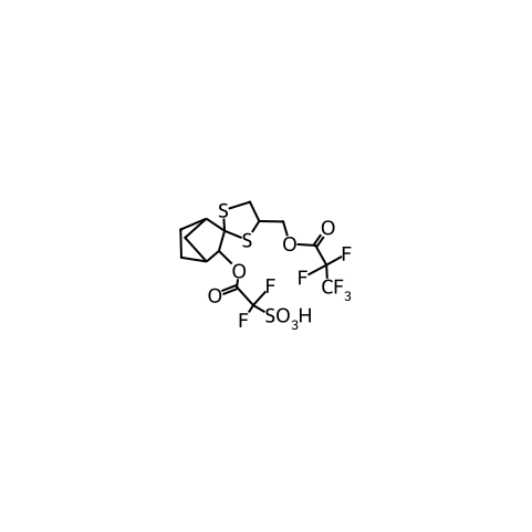 O=C(OCC1CSC2(S1)C1CCC(C1)C2OC(=O)C(F)(F)S(=O)(=O)O)C(F)(F)C(F)(F)F